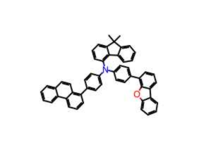 CC1(C)c2ccccc2-c2c(N(c3ccc(-c4cccc5c4ccc4ccccc45)cc3)c3ccc(-c4cccc5c4oc4ccccc45)cc3)cccc21